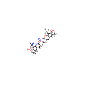 CC(C)(C)c1cc(C=C(CCCC(=Cc2cc(C(C)(C)C)c(O)c(C(C)(C)C)c2)C(N)=O)C(N)=O)cc(C(C)(C)C)c1O